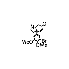 COc1cc([C@@]23C=CC(=O)CC2N(C)CC3)cc(Br)c1OC